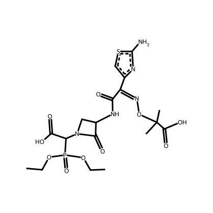 CCOP(=O)(OCC)C(C(=O)O)N1CC(NC(=O)C(=NOC(C)(C)C(=O)O)c2csc(N)n2)C1=O